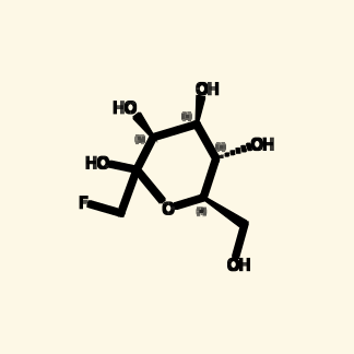 OC[C@H]1OC(O)(CF)[C@@H](O)[C@@H](O)[C@@H]1O